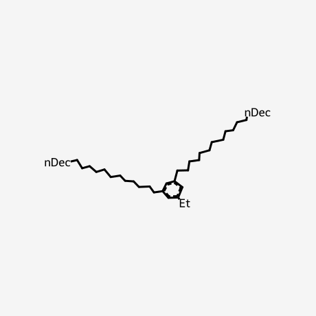 [CH2]Cc1cc(CCCCCCCCCCCCCCCCCCCCCC)cc(CCCCCCCCCCCCCCCCCCCCCC)c1